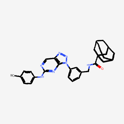 N#Cc1ccc(Nc2ncc3nnn(-c4cccc(CNC(=O)C56CC7CC(CC(C7)C5)C6)c4)c3n2)cc1